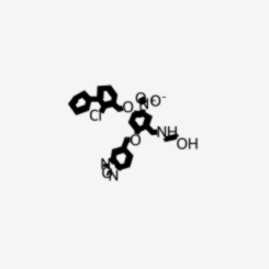 O=[N+]([O-])c1cc(CNCCO)c(OCc2ccc3nonc3c2)cc1OCc1cccc(-c2ccccc2)c1Cl